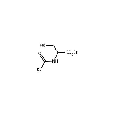 CCOC(=O)[C@H](CS)NC(=O)CC